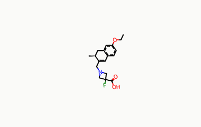 CCOc1ccc2c(c1)C[C@H](C)C(CN1CC(F)(C(=O)O)C1)=C2